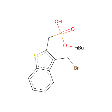 CCC(C)OP(=O)(O)Cc1sc2ccccc2c1CBr